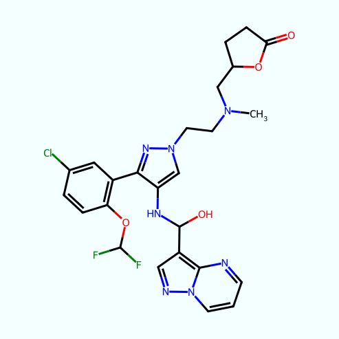 CN(CCn1cc(NC(O)c2cnn3cccnc23)c(-c2cc(Cl)ccc2OC(F)F)n1)CC1CCC(=O)O1